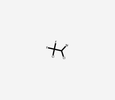 FC(F)(Cl)C(Cl)Br